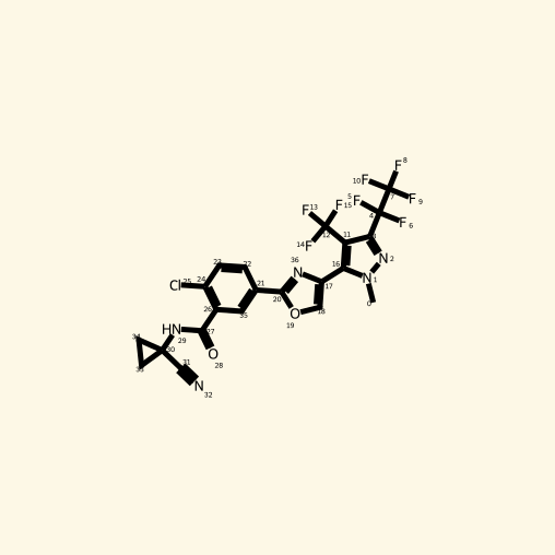 Cn1nc(C(F)(F)C(F)(F)F)c(C(F)(F)F)c1-c1coc(-c2ccc(Cl)c(C(=O)NC3(C#N)CC3)c2)n1